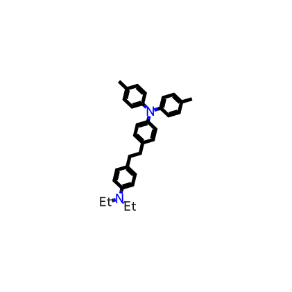 CCN(CC)c1ccc(CCc2ccc(N(c3ccc(C)cc3)c3ccc(C)cc3)cc2)cc1